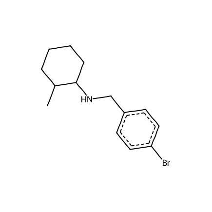 CC1CCCCC1NCc1ccc(Br)cc1